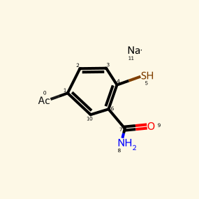 CC(=O)c1ccc(S)c(C(N)=O)c1.[Na]